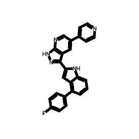 Fc1ccc(-c2cccc3[nH]c(-c4n[nH]c5ncc(-c6ccncc6)cc45)cc23)cc1